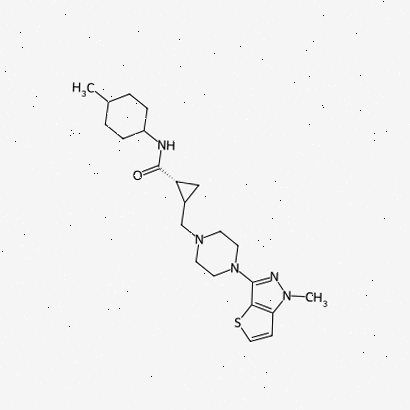 CC1CCC(NC(=O)[C@@H]2CC2CN2CCN(c3nn(C)c4ccsc34)CC2)CC1